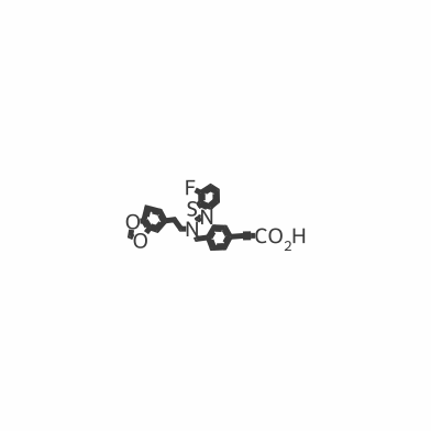 O=C(O)C#Cc1ccc(CN(CCc2ccc3c(c2)OCO3)c2nc3cccc(F)c3s2)cc1